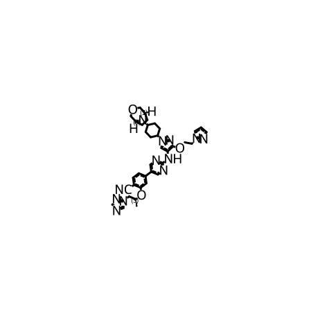 C[C@@H](Cn1cncn1)Oc1cc(-c2cnc(Nc3cn(C4CCC(N5[C@@H]6CC[C@H]5COC6)CC4)nc3OCCn3cccn3)nc2)ccc1C#N